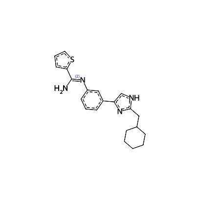 N/C(=N\c1cccc(-c2c[nH]c(CC3CCCCC3)n2)c1)c1cccs1